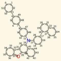 c1ccc(-c2ccc(-c3ccc(N(c4cccc(-c5cccc6ccccc56)c4)c4cc5c6ccccc6oc5c5ccccc45)cc3)cc2)cc1